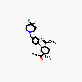 C=C(C)[C@@H]1CC[C@](C)(C(=O)OC)C[C@H]1c1ccc(CN2CCC(F)(F)CC2)cc1